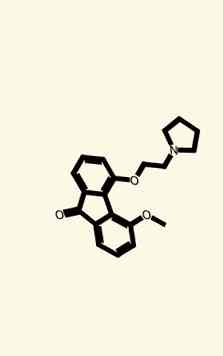 COc1cccc2c1-c1c(OCCN3CCCC3)cccc1C2=O